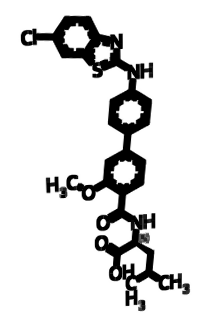 COc1cc(-c2ccc(Nc3nc4ccc(Cl)cc4s3)cc2)ccc1C(=O)N[C@@H](CC(C)C)C(=O)O